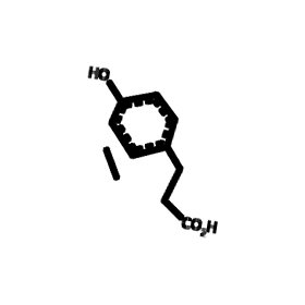 CC.O=C(O)CCc1ccc(O)cc1